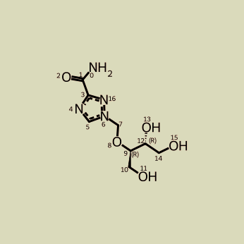 NC(=O)c1ncn(CO[C@H](CO)[C@H](O)CO)n1